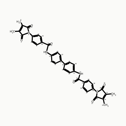 CC1=C(C)C(=O)N(c2ccc(C(=O)Nc3ccc(-c4ccc(NC(=O)c5ccc(N6C(=O)C(C)=C(C)C6=O)cc5)cc4)cc3)cc2)C1=O